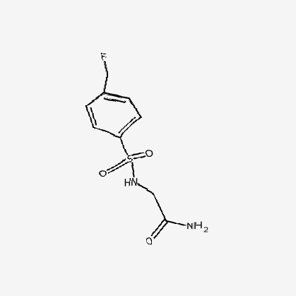 NC(=O)CNS(=O)(=O)c1ccc(F)cc1